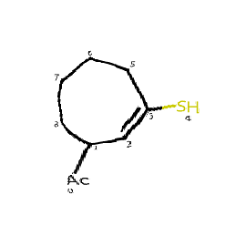 CC(=O)C1C=C(S)CCCC1